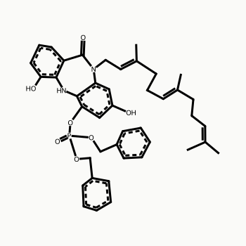 CC(C)=CCC/C(C)=C/CC/C(C)=C/CN1C(=O)c2cccc(O)c2Nc2c(OP(=O)(OCc3ccccc3)OCc3ccccc3)cc(O)cc21